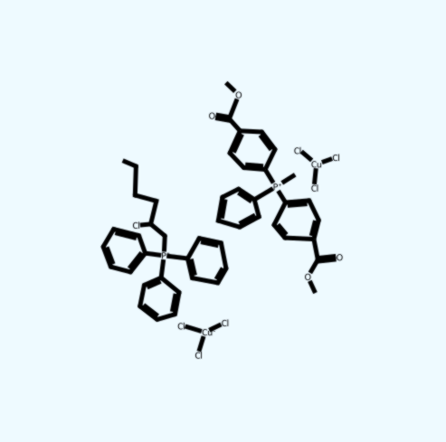 CCCCC(Cl)C[P+](c1ccccc1)(c1ccccc1)c1ccccc1.COC(=O)c1ccc([P+](C)(c2ccccc2)c2ccc(C(=O)OC)cc2)cc1.[Cl][Cu-]([Cl])[Cl].[Cl][Cu-]([Cl])[Cl]